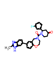 Cc1nc2ccc(-c3ccc4c(c3)CN(C(=O)N3CCC(=O)CC3c3cccc(F)c3)CCO4)cc2[nH]1